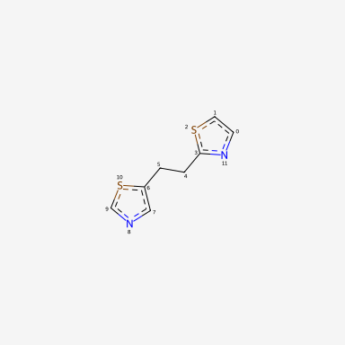 c1csc(CCc2cncs2)n1